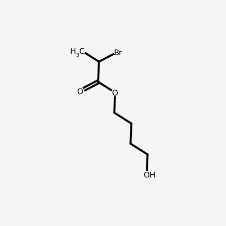 CC(Br)C(=O)OCCCCO